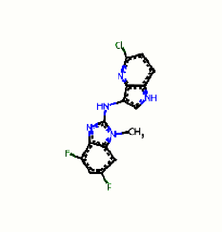 Cn1c(Nc2c[nH]c3ccc(Cl)nc23)nc2c(F)cc(F)cc21